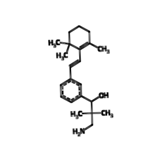 CC1=C(C=Cc2cccc(C(O)C(C)(C)CN)c2)C(C)(C)CCC1